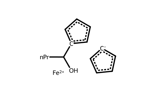 CCCC(O)[c-]1cccc1.[Fe+2].c1cc[cH-]c1